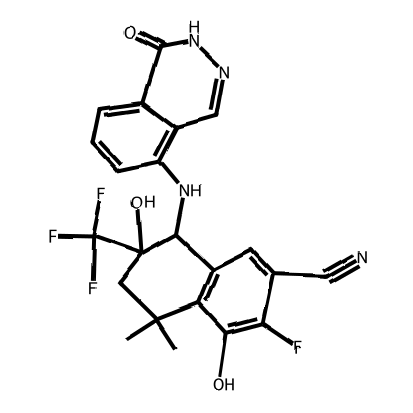 CC1(C)CC(O)(C(F)(F)F)C(Nc2cccc3c(=O)[nH]ncc23)c2cc(C#N)c(F)c(O)c21